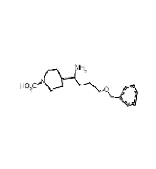 NC(CCCOCc1ccccc1)C1CCN(C(=O)O)CC1